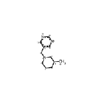 C[C@H]1CCCN(Cc2cncnc2)C1